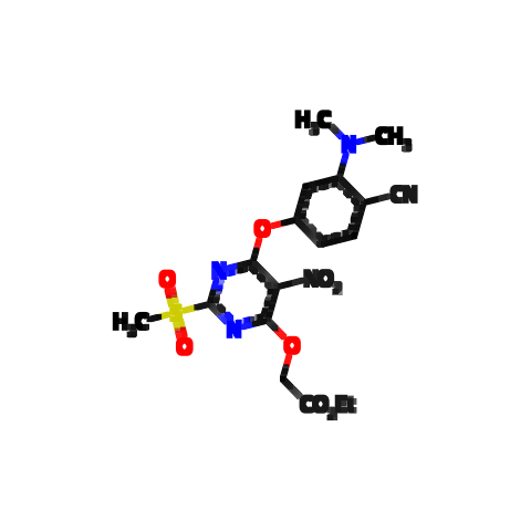 CCOC(=O)COc1nc(S(C)(=O)=O)nc(Oc2ccc(C#N)c(N(C)C)c2)c1[N+](=O)[O-]